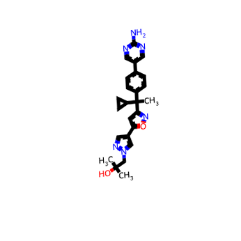 CC(C)(O)Cn1cc(-c2cc(C(C)(c3ccc(-c4cnc(N)nc4)cc3)C3CC3)no2)cn1